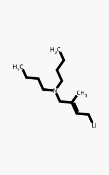 [Li][CH2]/C=C(\C)CN(CCCC)CCCC